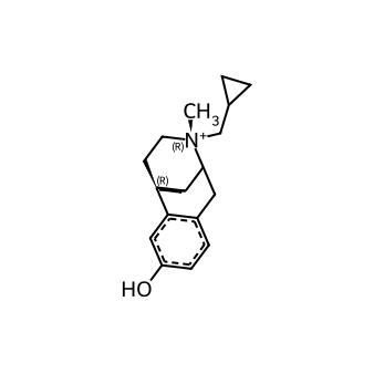 C[N@+]1(CC2CC2)CC[C@]23CCCCC2C1Cc1ccc(O)cc13